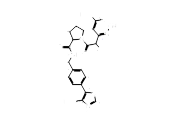 C/N=C(\C=C(C)C)C(C)C(=O)N1CCCC1C(=O)NCc1ccc(-c2scnc2C)cc1